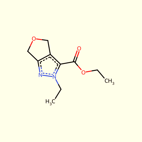 CCOC(=O)c1c2c(nn1CC)COC2